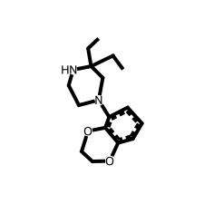 CCC1(CC)CN(c2cccc3c2OCCO3)CCN1